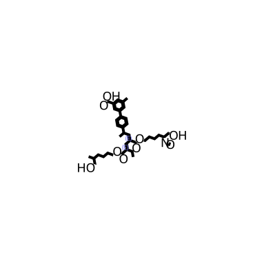 CC/C(=C\C(=C/C(C)c1ccc(-c2cc(C)cc(C(=O)O)c2)cc1)C(=O)OCCCCC(CO)N=O)C(=O)OCCCCC(C)CO